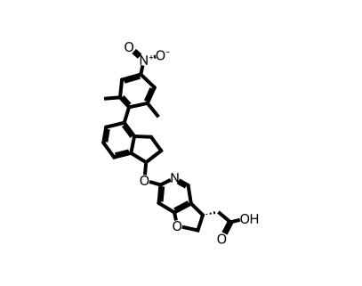 Cc1cc([N+](=O)[O-])cc(C)c1-c1cccc2c1CCC2Oc1cc2c(cn1)[C@H](CC(=O)O)CO2